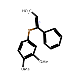 COc1ccc(S/C(=C\C(=O)O)c2ccccc2)cc1OC